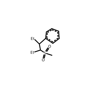 CCC(c1ccccc1)C(CC)S(C)(=O)=O